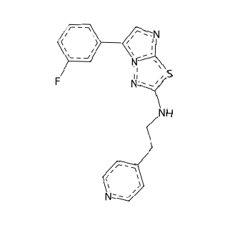 Fc1cccc(-c2cnc3sc(NCCc4ccncc4)nn23)c1